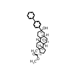 COC(=O)[C@H]1CC[C@H]2[C@@H]3CC[C@@H]4C[C@@](O)(c5ccc(-c6ccccc6)cc5)CC[C@]4(C)[C@H]3CC[C@]12C